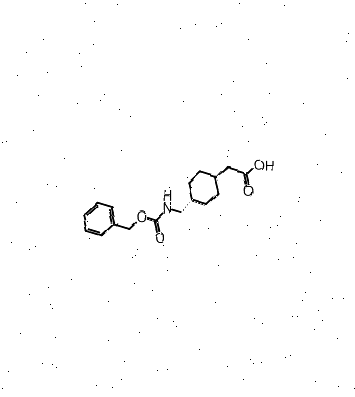 O=C(O)C[C@H]1CC[C@H](CNC(=O)OCc2ccccc2)CC1